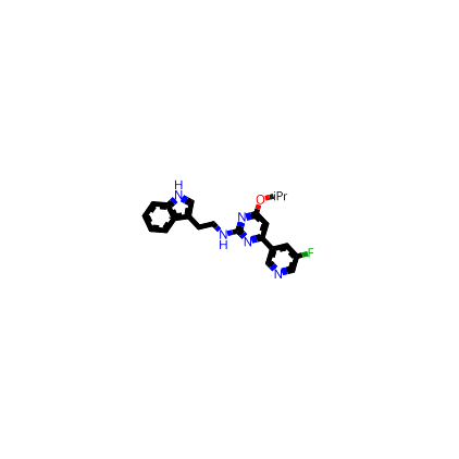 CC(C)Oc1cc(-c2cncc(F)c2)nc(NCCc2c[nH]c3ccccc23)n1